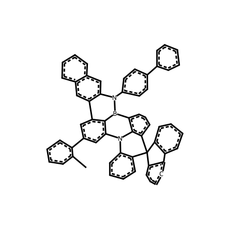 Cc1ccccc1-c1cc2c3c(c1)N1c4ccccc4C4(c5ccccc5-c5ccccc54)c4cccc(c41)B3N(c1ccc(-c3ccccc3)cc1)c1cc3ccccc3cc1-2